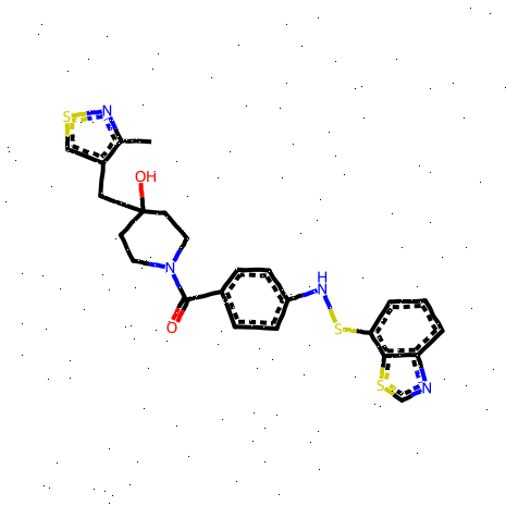 Cc1nscc1CC1(O)CCN(C(=O)c2ccc(NSc3cccc4ncsc34)cc2)CC1